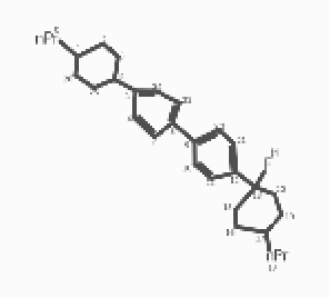 CCCC1CCC(c2ccc(-c3ccc(C4(F)CCC(CCC)CC4)cc3)cc2)CC1